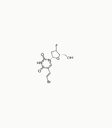 O=c1[nH]c(=O)n([C@@H]2CC(F)[C@H](CO)O2)cc1/C=C/Br